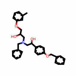 Cc1cccc(OCC(O)CN(Cc2ccccc2)CC(O)c2ccc(OCc3ccccc3)cc2)c1